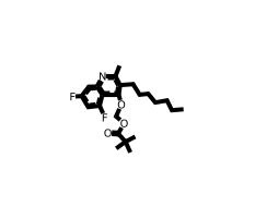 CCCCCCCc1c(C)nc2cc(F)cc(F)c2c1OCOC(=O)C(C)(C)C